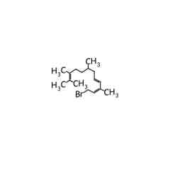 CC(C=CCC(C)CCC(C)=C(C)C)=CCBr